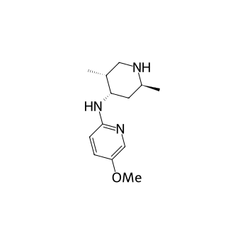 COc1ccc(N[C@H]2C[C@H](C)NC[C@H]2C)nc1